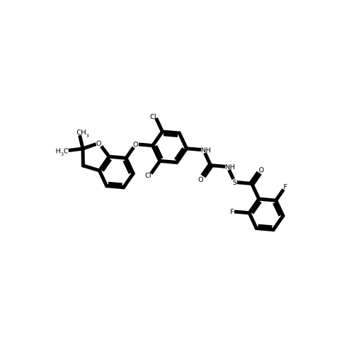 CC1(C)Cc2cccc(Oc3c(Cl)cc(NC(=O)NSC(=O)c4c(F)cccc4F)cc3Cl)c2O1